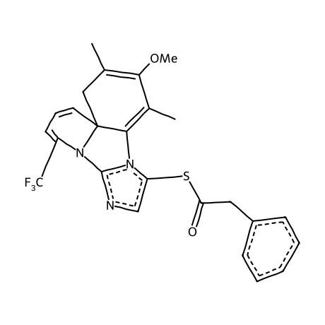 COC1=C(C)CC23C=CC=C(C(F)(F)F)N2c2ncc(SC(=O)Cc4ccccc4)n2C3=C1C